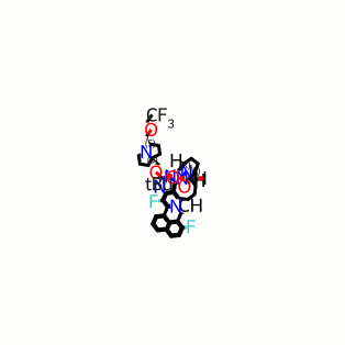 C#Cc1c(F)ccc2cccc(-c3nc4c5c(nc(OC[C@@]67CCCN6[C@H](COCC(F)(F)F)CC7)nc5c3F)N3C[C@H]5CC[C@@H]([C@H]3CCC4)N5C(=O)OC(C)(C)C)c12